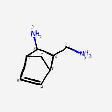 NCC1C2C=CC(C2)C1N